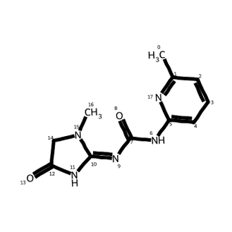 Cc1cccc(NC(=O)N=C2NC(=O)CN2C)n1